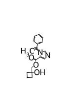 C[C@H](c1ccccc1)n1cncc1C(=O)OCC1(O)CCC1